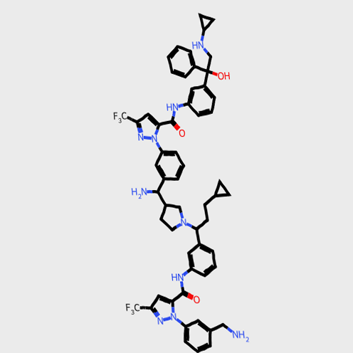 NCc1cccc(-n2nc(C(F)(F)F)cc2C(=O)Nc2cccc(C(CCC3CC3)N3CCC(C(N)c4cccc(-n5nc(C(F)(F)F)cc5C(=O)Nc5cccc(C(O)(CNC6CC6)c6ccccc6)c5)c4)C3)c2)c1